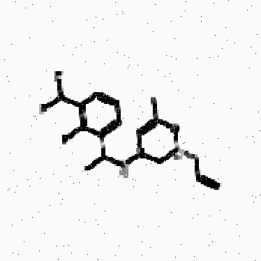 C=CC[C@@H]1CN(NC(C)c2cccc(C(F)F)c2F)C=C(C)O1